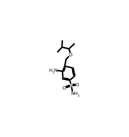 CC(C)C(C)OCc1ccc(S(N)(=O)=O)cc1N